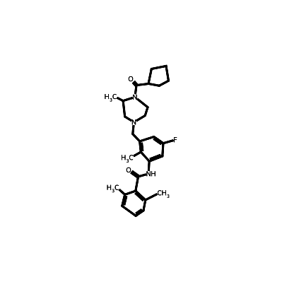 Cc1cccc(C)c1C(=O)Nc1cc(F)cc(CN2CCN(C(=O)C3CCCC3)C(C)C2)c1C